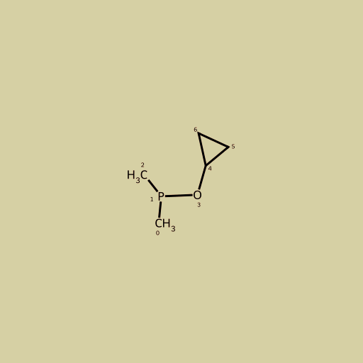 CP(C)OC1CC1